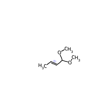 C/C=C/C(OC)OC